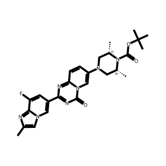 Cc1cn2cc(-c3nc(=O)n4cc(N5C[C@@H](C)N(C(=O)OC(C)(C)C)[C@@H](C)C5)ccc4n3)cc(F)c2n1